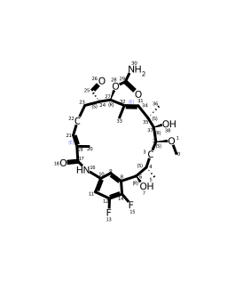 CO[C@H]1C[C@H](C)[C@@H](O)c2cc(cc(F)c2F)NC(=O)/C(C)=C/CC[C@H](C=O)[C@@H](OC(N)=O)/C(C)=C/[C@H](C)[C@H]1O